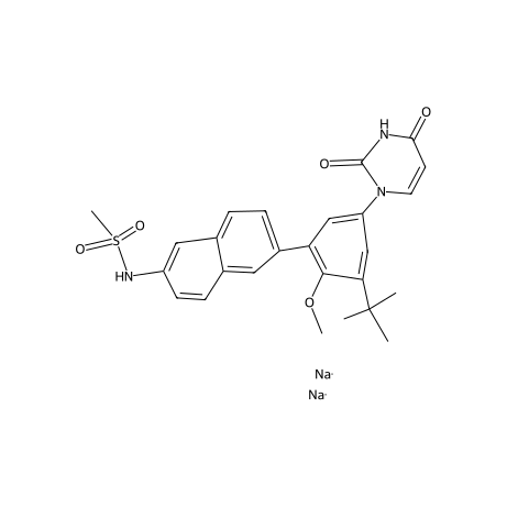 COc1c(-c2ccc3cc(NS(C)(=O)=O)ccc3c2)cc(-n2ccc(=O)[nH]c2=O)cc1C(C)(C)C.[Na].[Na]